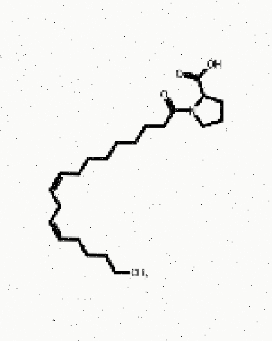 CCCCC/C=C\C/C=C\CCCCCCCC(=O)N1CCCC1C(=O)O